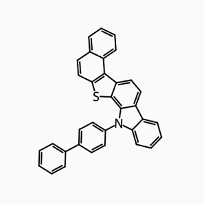 c1ccc(-c2ccc(-n3c4ccccc4c4ccc5c(sc6ccc7ccccc7c65)c43)cc2)cc1